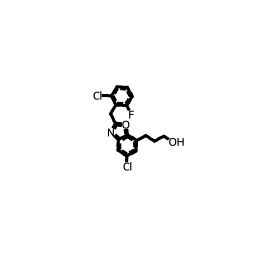 OCCCc1cc(Cl)cc2nc(Cc3c(F)cccc3Cl)oc12